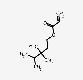 C=CC(=O)OCCC(C)(C)C(C)C